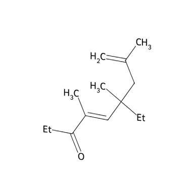 C=C(C)CC(C)(/C=C(\C)C(=O)CC)CC